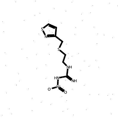 N=C(NCCSCc1ccsn1)N[N+](=O)[O-]